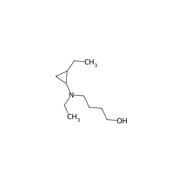 CCC1CC1N(CC)CCCCO